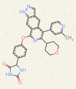 Cc1cc(-c2c(C3CCOCC3)nc(Oc3ccc(C4NC(=O)NC4=O)cc3)c3cc4[nH]ncc4cc23)ccn1